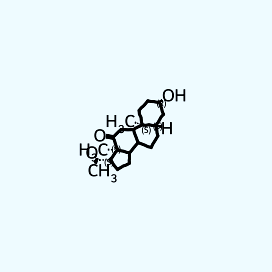 CC(=O)[C@H]1CCC2C3CC[C@H]4C[C@H](O)CC[C@]4(C)C3CC(=O)[C@@]21C